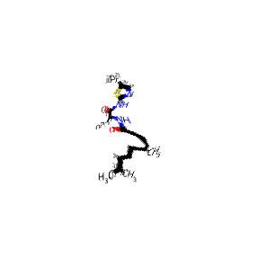 CCC[C@H](NC(=O)C[C@H](C)CCC=C(C)C)C(=O)Nc1ncc(C(C)C)s1